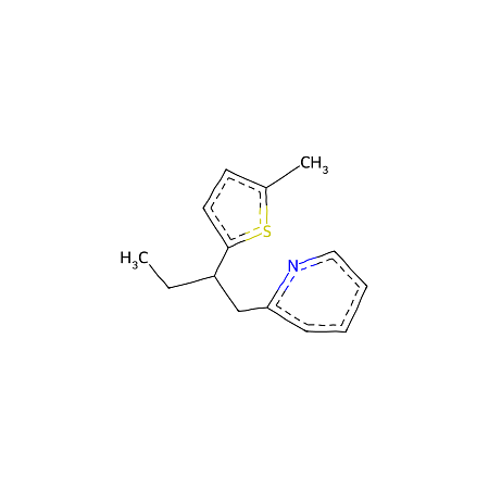 CCC(Cc1ccccn1)c1ccc(C)s1